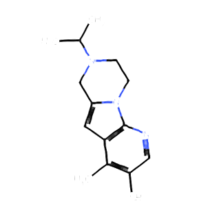 Cc1cnc2c(cc3n2CCN(C(C)C)C3)c1C